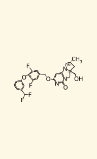 C[C@H]1CN2c3cc(OCc4cc(F)c(Oc5cccc(C(F)F)c5)c(F)c4)nc(=O)n3C[C@@]2(CO)C1